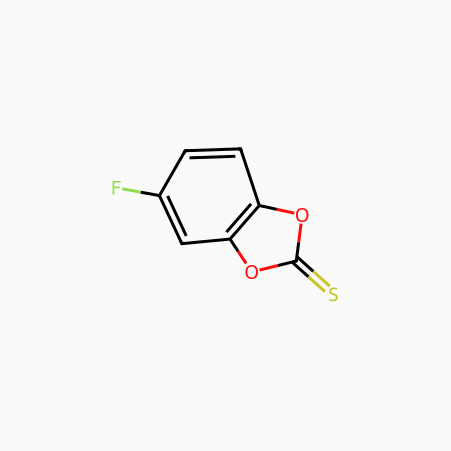 Fc1ccc2oc(=S)oc2c1